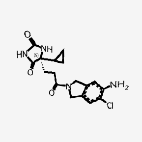 Nc1cc2c(cc1Cl)CN(C(=O)CC[C@@]1(C3CC3)NC(=O)NC1=O)C2